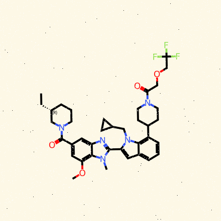 CC[C@@H]1CCCN(C(=O)c2cc(OC)c3c(c2)nc(-c2cc4cccc(C5CCN(C(=O)COCC(F)(F)F)CC5)c4n2CC2CC2)n3C)C1